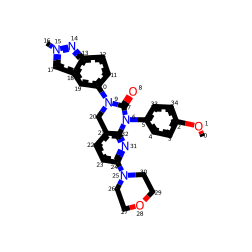 COc1ccc(N2C(=O)N(c3ccc4nn(C)cc4c3)Cc3ccc(N4CCOCC4)nc32)cc1